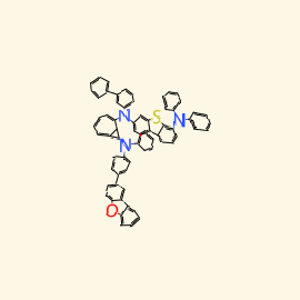 C1=CC=C(N(c2cccc(-c3ccccc3)c2)c2ccc3c(c2)sc2c(N(c4ccccc4)c4ccccc4)cccc23)C2C(=C1)C2N(c1ccccc1)c1ccc(-c2ccc3oc4ccccc4c3c2)cc1